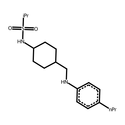 CCCc1ccc(NCC2CCC(NS(=O)(=O)C(C)C)CC2)cc1